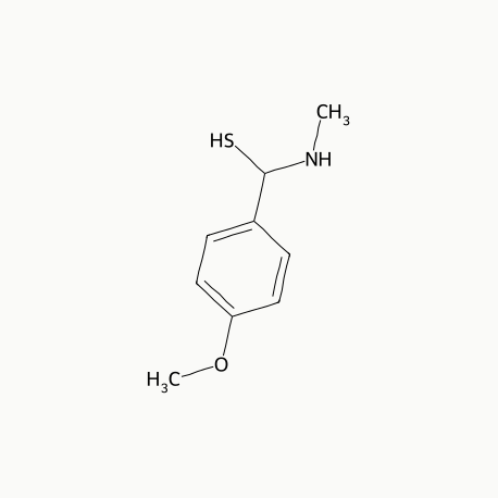 CNC(S)c1ccc(OC)cc1